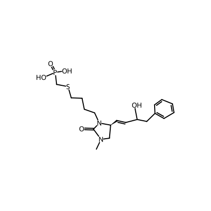 CN1C[C@H](C=CC(O)Cc2ccccc2)N(CCCCSCP(=O)(O)O)C1=O